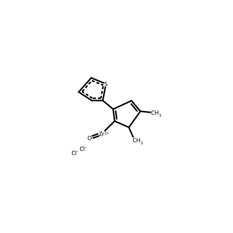 CC1=CC(c2cccs2)=[C]([Zr+2]=[O])C1C.[Cl-].[Cl-]